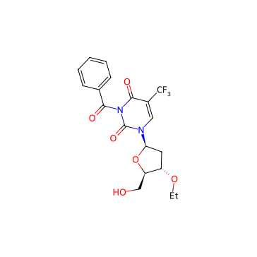 CCO[C@H]1C[C@H](n2cc(C(F)(F)F)c(=O)n(C(=O)c3ccccc3)c2=O)O[C@@H]1CO